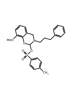 COc1cccc2c1OC(OS(=O)(=O)c1ccc(C)cc1)N(CCCc1ccccc1)C2